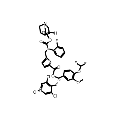 COc1cc([C@H](Cc2c(Cl)c[n+]([O-])cc2Cl)OC(=O)c2ccc(CN(C(=O)O[C@H]3CN4CCC3CC4)c3ccccc3F)s2)ccc1OC(F)F